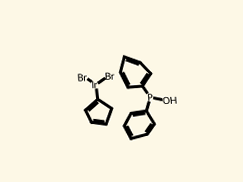 OP(c1ccccc1)c1ccccc1.[Br][Ir]([Br])[C]1=CC=CC1